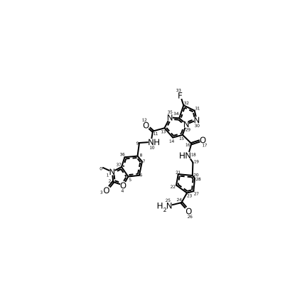 Cn1c(=O)oc2ccc(CNC(=O)c3cc(C(=O)NCc4ccc(C(N)=O)cc4)n4ncc(F)c4n3)cc21